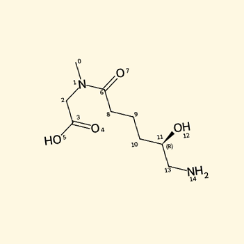 CN(CC(=O)O)C(=O)CCC[C@@H](O)CN